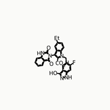 CCc1ccc2c(c1)c(-n1c(=O)[nH]c3ccccc3c1=O)c(C(=O)O)n2Cc1cc2c(O)n[nH]c2cc1F